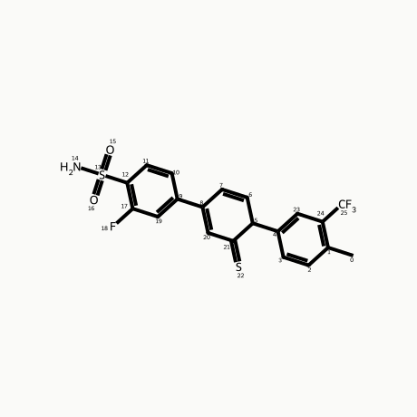 Cc1ccc(C2C=CC(c3ccc(S(N)(=O)=O)c(F)c3)=CC2=S)cc1C(F)(F)F